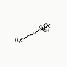 CCCCCCCCCCCCCCCC(=O)N(O)c1cccc(Cl)c1